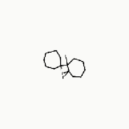 FC1(F)CCCCCC1(F)C1(F)CCCCCC1